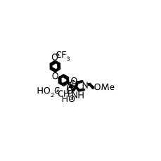 CC(=O)O.COCCN1CCC(C(=O)NO)(S(=O)(=O)c2ccc(Oc3ccc(OC(F)(F)F)cc3)cc2)CC1